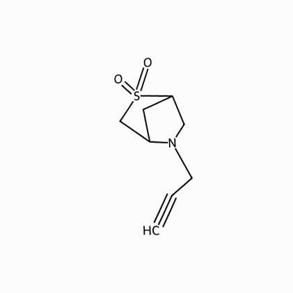 C#CCN1CC2CC1CS2(=O)=O